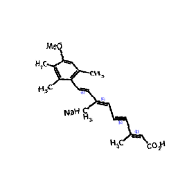 COc1cc(C)c(/C=C/C(C)=C/C=C/C(C)=C/C(=O)O)c(C)c1C.[NaH]